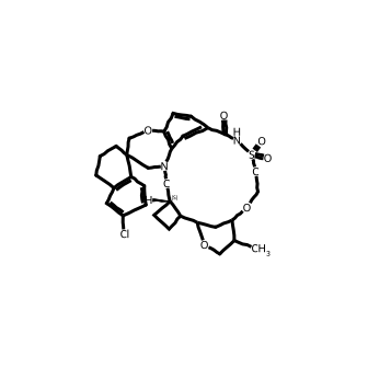 CC1COC2CC1OCCS(=O)(=O)NC(=O)c1ccc3c(c1)N(C[C@H]1CCC21)CC1(CCCc2cc(Cl)ccc21)CO3